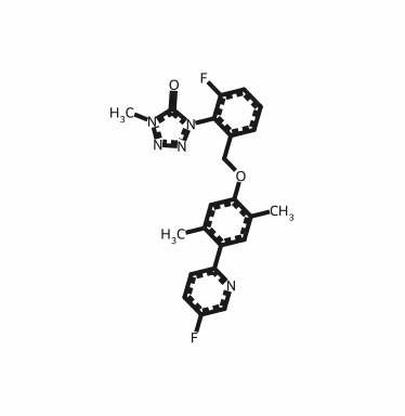 Cc1cc(-c2ccc(F)cn2)c(C)cc1OCc1cccc(F)c1-n1nnn(C)c1=O